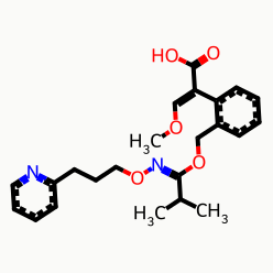 CO/C=C(/C(=O)O)c1ccccc1CO/C(=N/OCCCc1ccccn1)C(C)C